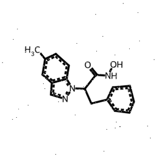 Cc1ccc2c(cnn2C(Cc2ccccc2)C(=O)NO)c1